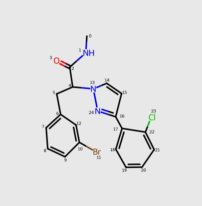 CNC(=O)C(Cc1cccc(Br)c1)n1ccc(-c2ccccc2Cl)n1